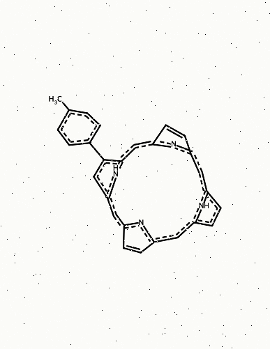 Cc1ccc(-c2cc3cc4nc(cc5ccc(cc6nc(cc2[nH]3)C=C6)[nH]5)C=C4)cc1